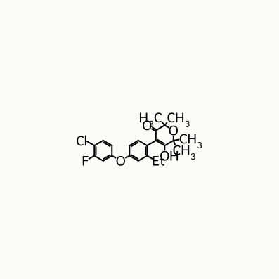 CCc1cc(Oc2ccc(Cl)c(F)c2)ccc1C1=C(O)C(C)(C)OC(C)(C)C1=O